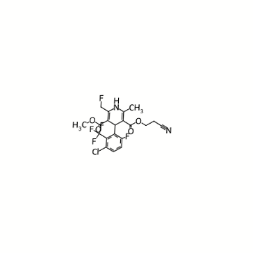 COC(=O)C1=C(CF)NC(C)=C(C(=O)OCCC#N)C1c1c(F)ccc(Cl)c1C(F)(F)F